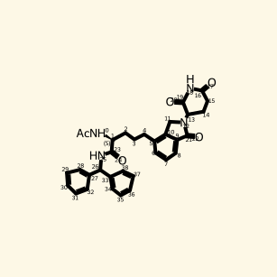 CC(=O)N[C@@H](CCCc1cccc2c1CN(C1CCC(=O)NC1=O)C2=O)C(=O)NC(c1ccccc1)c1ccccc1